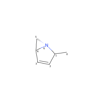 CC1C=CC2C[N@]12